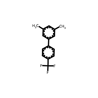 Cc1cc(C)cc(-c2ccc(C(F)(F)F)cc2)c1